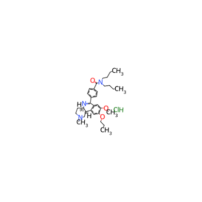 CCCCN(CCCC)C(=O)c1ccc(C2=N[C@@H]3CCN(C)C[C@@H]3c3cc(OCCC)c(OC)cc32)cc1.Cl